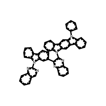 c1ccc(-n2c3ccccc3c3cc4c(cc32)c2ccccc2n4-c2nc3ccccc3nc2-c2ccc3c4ccccc4n(-c4ncc5ccccc5n4)c3c2)cc1